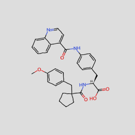 COc1ccc(CC2(C(=O)N[C@@H](Cc3ccc(NC(=O)c4ccnc5ccccc45)cc3)C(=O)O)CCCC2)cc1